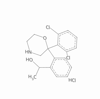 CC(O)c1ccccc1C1(c2c(Cl)cccc2Cl)CNCCO1.Cl